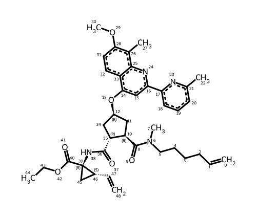 C=CCCCCN(C)C(=O)[C@@H]1C[C@H](Oc2cc(-c3cccc(C)n3)nc3c(C)c(OC)ccc23)C[C@H]1C(=O)N[C@]1(C(=O)OCC)C[C@H]1C=C